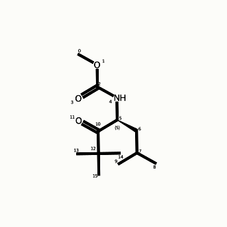 COC(=O)N[C@@H](CC(C)C)C(=O)C(C)(C)C